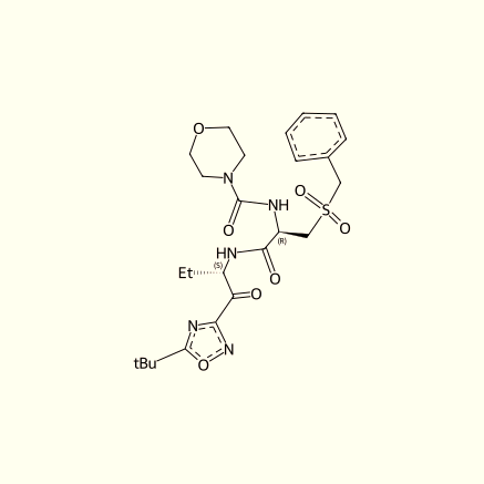 CC[C@H](NC(=O)[C@H](CS(=O)(=O)Cc1ccccc1)NC(=O)N1CCOCC1)C(=O)c1noc(C(C)(C)C)n1